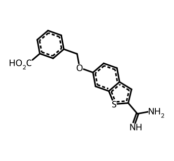 N=C(N)c1cc2ccc(OCc3cccc(C(=O)O)c3)cc2s1